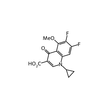 COc1c(F)c(F)cc2c1c(=O)c(C(=O)O)cn2C1CC1